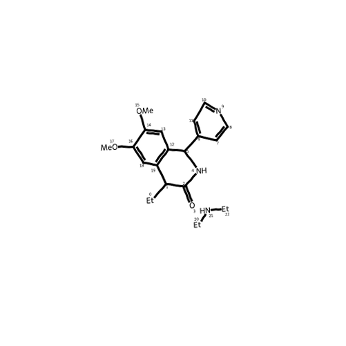 CCC1C(=O)NC(c2ccncc2)c2cc(OC)c(OC)cc21.CCNCC